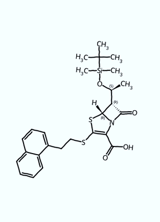 C[C@H](O[Si](C)(C)C(C)(C)C)[C@@H]1C(=O)N2C(C(=O)O)=C(SCCc3cccc4ccccc34)S[C@H]12